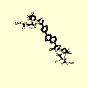 COC(=O)N[C@H](C(=O)N1[C@@H]2[C@H](C)[C@@H]2C[C@H]1c1ncc(-c2ccc(-c3ccc4cc(-c5[nH]c([C@@H]6C[C@H]7[C@@H](C)[C@H]7N6C(=O)[C@@H](NC(=O)OC)C(C)C)nc5Cl)ccc4c3)cc2)[nH]1)C(C)C